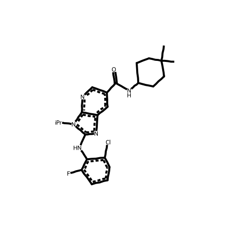 CC(C)n1c(Nc2c(F)cccc2Cl)nc2cc(C(=O)NC3CCC(C)(C)CC3)cnc21